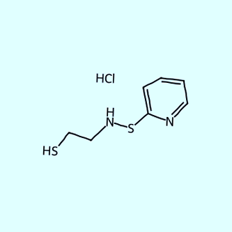 Cl.SCCNSc1ccccn1